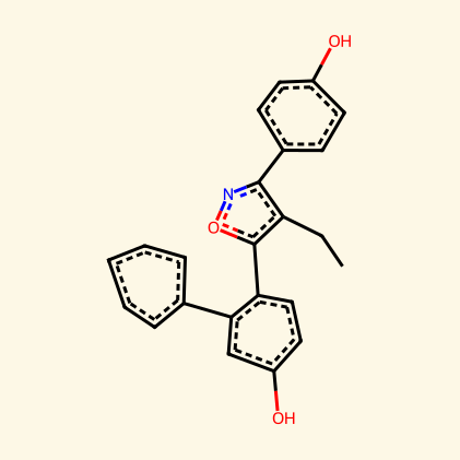 CCc1c(-c2ccc(O)cc2)noc1-c1ccc(O)cc1-c1ccccc1